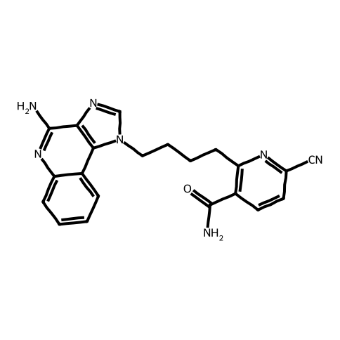 N#Cc1ccc(C(N)=O)c(CCCCn2cnc3c(N)nc4ccccc4c32)n1